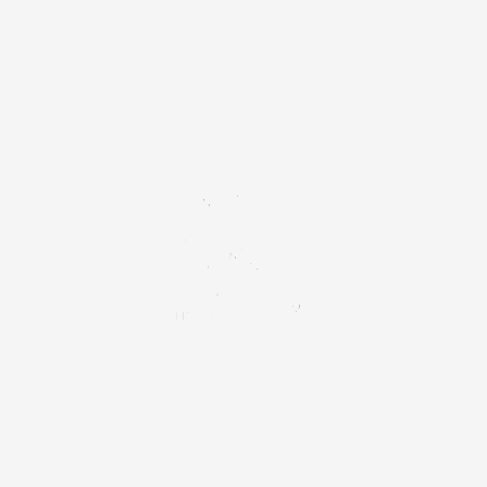 COc1ccc(C)c2c1C(=O)N(C1CCC(=O)NC1=O)C2